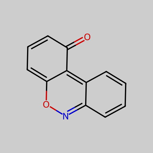 O=c1cccc2onc3ccccc3c1-2